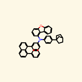 c1ccc(-c2cccc3cccc(-c4cccc(N(c5ccc(C67CCC(CC6)C7)cc5)c5cccc6oc7ccccc7c56)c4)c23)cc1